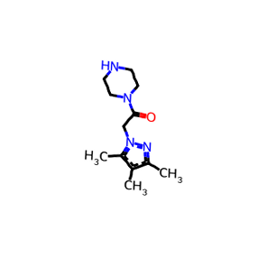 Cc1nn(CC(=O)N2CCNCC2)c(C)c1C